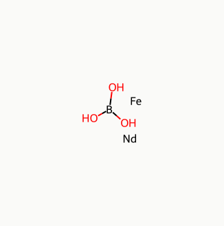 OB(O)O.[Fe].[Nd]